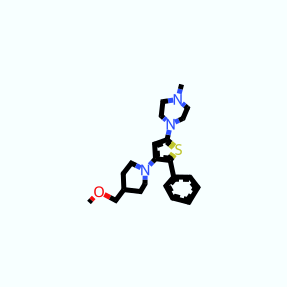 COCC1CCN(c2cc(N3CCN(C)CC3)sc2-c2ccccc2)CC1